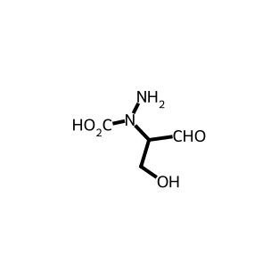 NN(C(=O)O)C(C=O)CO